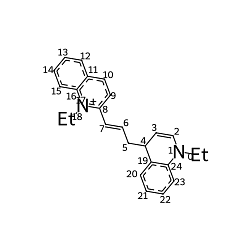 CCN1C=CC(CC=Cc2ccc3ccccc3[n+]2CC)c2ccccc21